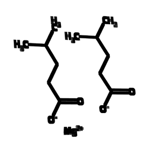 CC(C)CCC(=O)[O-].CC(C)CCC(=O)[O-].[Mg+2]